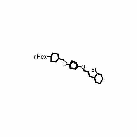 CCCCCCC1CCC(COc2ccc(OCCCC3CCCCC3CC)cc2)CC1